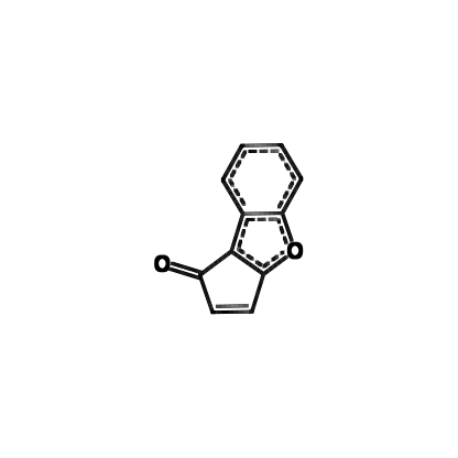 O=C1C=Cc2oc3ccccc3c21